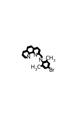 Cc1cc(Br)cc(C)c1N=Cc1ccc2ccc3cccnc3c2n1